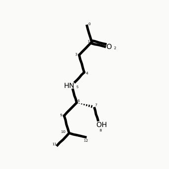 CC(=O)CCN[C@H](CO)CC(C)C